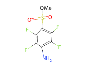 COS(=O)(=O)c1c(F)c(F)c(N)c(F)c1F